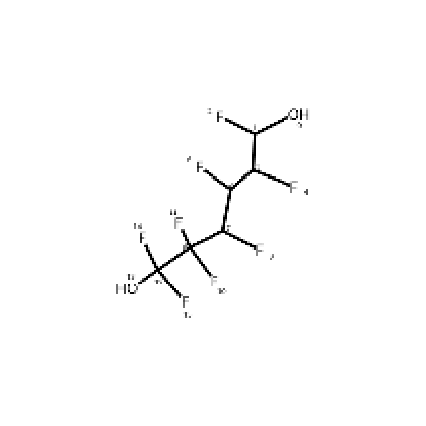 OC(F)C(F)C(F)C(F)C(F)(F)C(O)(F)F